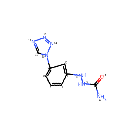 NC(=O)NNc1cccc(-n2cnnn2)c1